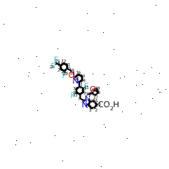 O=C(O)c1ccc2nc(Cc3cc(F)c(-c4cccc(OCc5ccc(C(F)F)cc5F)n4)cc3F)n(CC34CC(CO3)C4)c2c1